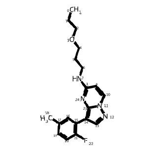 CCCOCCCNc1ccn2ncc(-c3cc(C)ccc3F)c2n1